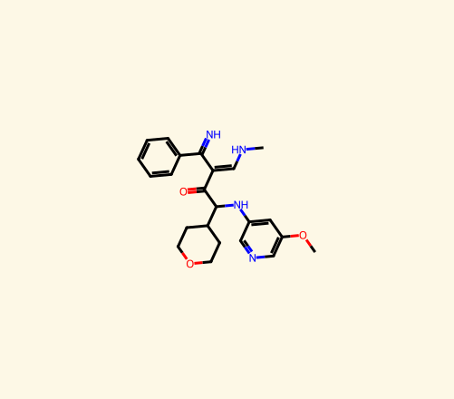 CN/C=C(\C(=N)c1ccccc1)C(=O)C(Nc1cncc(OC)c1)C1CCOCC1